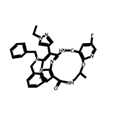 CCn1cc(-c2c3nc4c(cnn4c2N(Cc2ccccc2)Cc2ccccc2)C(=O)NCC(C)Oc2ncc(F)cc2CN3)cn1